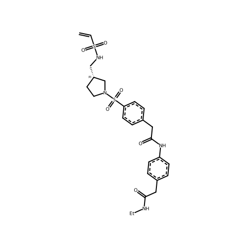 C=CS(=O)(=O)NC[C@H]1CCN(S(=O)(=O)c2ccc(CC(=O)Nc3ccc(CC(=O)NCC)cc3)cc2)C1